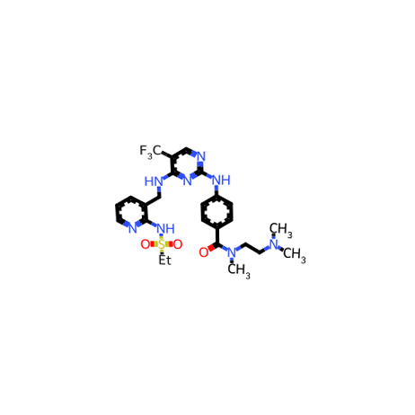 CCS(=O)(=O)Nc1ncccc1CNc1nc(Nc2ccc(C(=O)N(C)CCN(C)C)cc2)ncc1C(F)(F)F